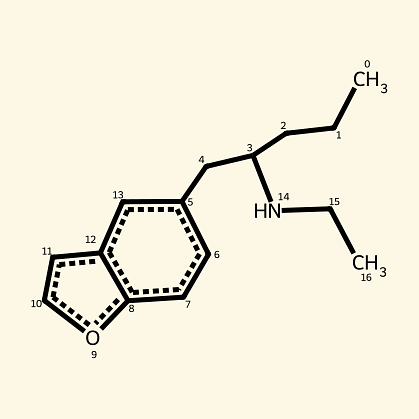 CCCC(Cc1ccc2occc2c1)NCC